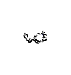 CC/C1=C(\N(C)C)OCCC(C)n2nc(-c3ccc(CN4CCN(C)CC4)o3)c3cnc(cc32)Nc2ccnc1n2